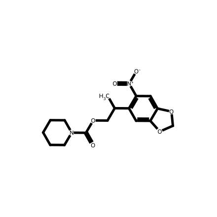 CC(COC(=O)N1CCCCC1)c1cc2c(cc1[N+](=O)[O-])OCO2